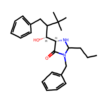 CCCC1N[C@@H]([C@H](O)[C](Cc2ccccc2)C(C)(C)C)C(=O)N1Cc1ccccc1